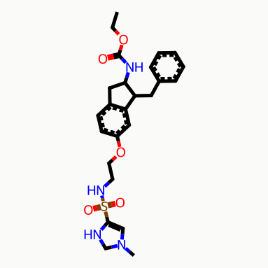 CCOC(=O)NC1Cc2ccc(OCCNS(=O)(=O)C3=CN(C)CN3)cc2C1Cc1ccccc1